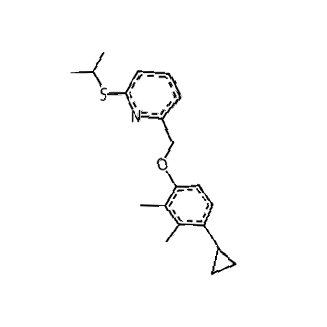 Cc1c(OCc2cccc(SC(C)C)n2)ccc(C2CC2)c1C